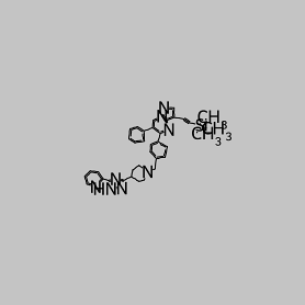 C[Si](C)(C)C#Cc1cnn2cc(-c3ccccc3)c(-c3ccc(CN4CCC(c5n[nH]c(-c6ccccn6)n5)CC4)cc3)nc12